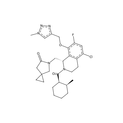 C[C@H]1CCCC[C@H]1C(=O)N1CCc2c(Cl)cc(F)c(OCc3cn(C)nn3)c2[C@H]1CN1CC2(CC2)CC1=O